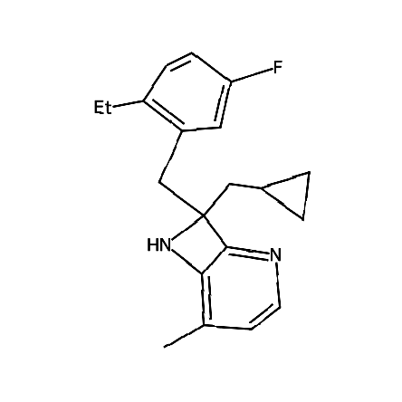 CCc1ccc(F)cc1CC1(CC2CC2)Nc2c(C)ccnc21